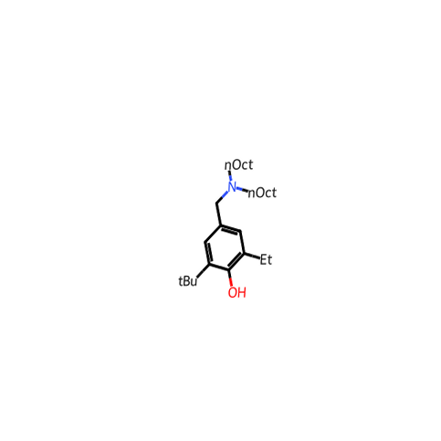 CCCCCCCCN(CCCCCCCC)Cc1cc(CC)c(O)c(C(C)(C)C)c1